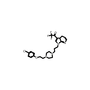 O=C(C1=CN(CCCN2CCN(CCOc3ccc(Cl)cc3)CC2)C2=NC=CCC12)C(F)(F)F